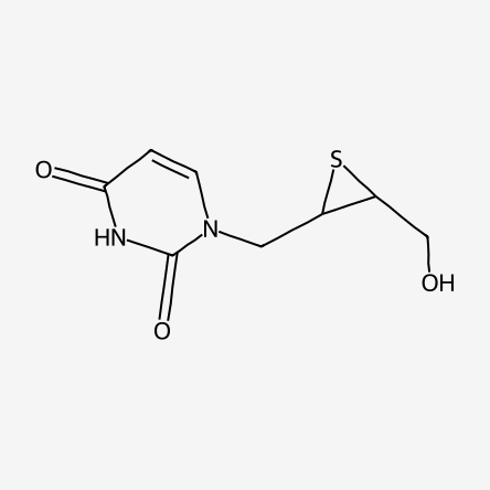 O=c1ccn(CC2SC2CO)c(=O)[nH]1